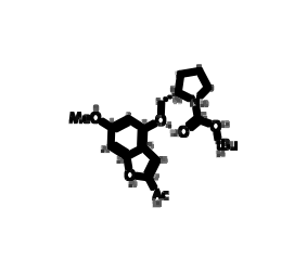 COc1cc(OC[C@@H]2CCCN2C(=O)OC(C)(C)C)c2cc(C(C)=O)oc2c1